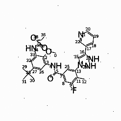 COc1c(NC(=O)c2cc(F)c(C)c(N3C=C(c4cccnc4)NN3)c2)cc(C(C)(C)C)cc1NS(C)(=O)=O